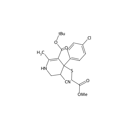 COC(=O)CSC1(c2ccc(Cl)cc2)C(C(=O)OC(C)(C)C)=C(C)NCC1C#N